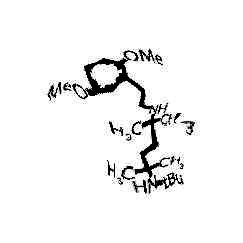 COc1ccc(OC)c(CCNC(C)(C)CCC(C)(C)NC(C)(C)C)c1